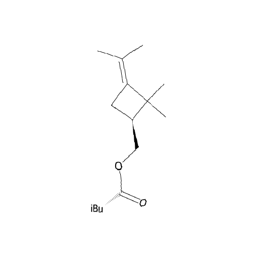 CC[C@@H](C)C(=O)OC[C@H]1CC(=C(C)C)C1(C)C